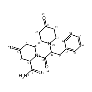 NC(=O)C1CC(=O)CCN1C(=O)C(Cc1ccccc1)N1CCC(=O)CC1